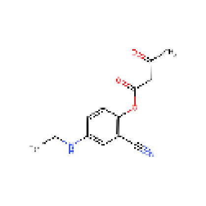 CCNc1ccc(OC(=O)CC(C)=O)c(C#N)c1